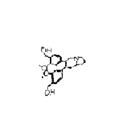 COc1cc(C2=C(c3ccc(CO)c(OC)c3)CN3CCCC3C2)ccc1CO